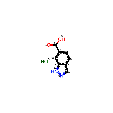 Cl.O=C(O)c1ccc2cn[nH]c2c1